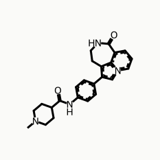 CN1CCC(C(=O)Nc2ccc(-c3cn4cccc5c4c3CCNC5=O)cc2)CC1